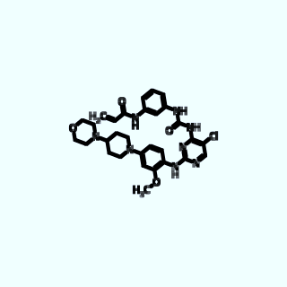 C=CC(=O)Nc1cccc(NC(=O)Nc2nc(Nc3ccc(N4CCC(N5CCOCC5)CC4)cc3OC)ncc2Cl)c1